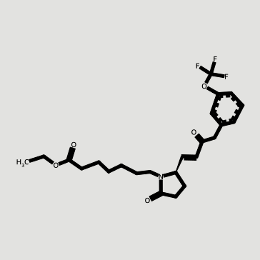 CCOC(=O)CCCCCCN1C(=O)CC[C@@H]1C=CC(=O)Cc1cccc(OC(F)(F)F)c1